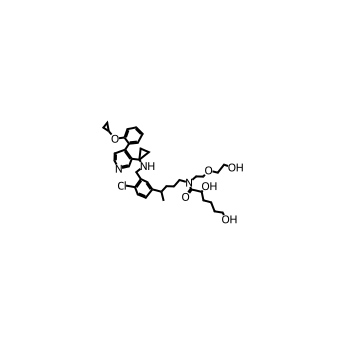 CC(CCCN(CCOCCO)C(=O)C(O)CCCCO)c1ccc(Cl)c(CNC2(c3cnccc3-c3ccccc3OC3CC3)CC2)c1